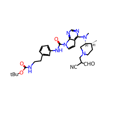 C[C@@H]1CCN(CC(C#N)C=O)C[C@@H]1N(C)c1ncnc2c1ccn2C(=O)Nc1cccc(CCNC(=O)OC(C)(C)C)c1